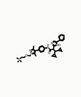 Cc1nn(COCCS(C)(C)C)c(C)c1-c1ccc(NC(=O)C(c2ncc(-c3ccccc3)[nH]2)C(C2CC2)C2CC2)cc1